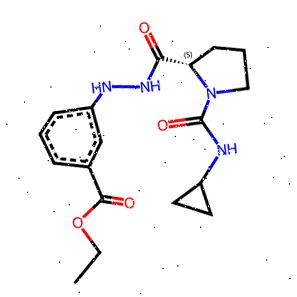 CCOC(=O)c1cccc(NNC(=O)[C@@H]2CCCN2C(=O)NC2CC2)c1